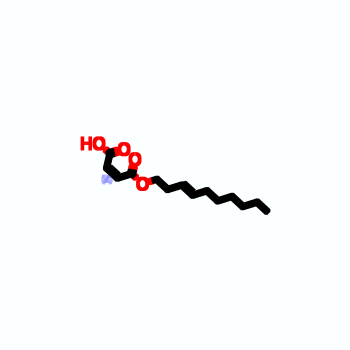 CCCCCCC=CCCOC(=O)/C=C\C(=O)O